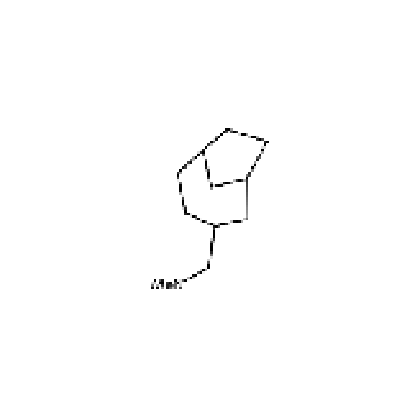 CNCC1CCC2CCC(C2)C1